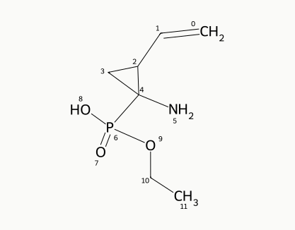 C=CC1CC1(N)P(=O)(O)OCC